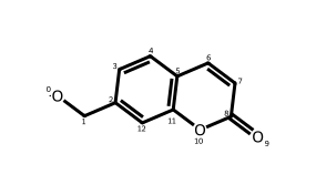 [O]Cc1ccc2ccc(=O)oc2c1